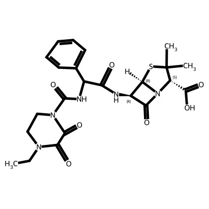 CCN1CCN(C(=O)NC(C(=O)N[C@@H]2C(=O)N3[C@@H]2SC(C)(C)[C@@H]3C(=O)O)c2ccccc2)C(=O)C1=O